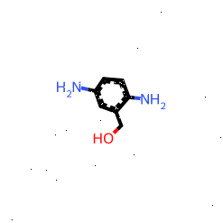 Nc1ccc(N)c(CO)c1